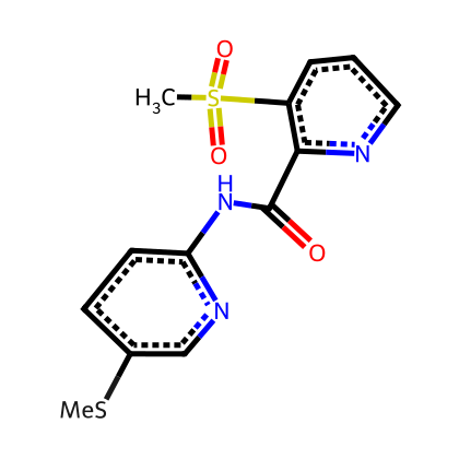 CSc1ccc(NC(=O)c2ncccc2S(C)(=O)=O)nc1